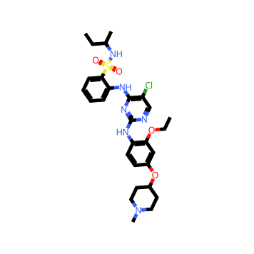 CCOc1cc(OC2CCN(C)CC2)ccc1Nc1ncc(Cl)c(Nc2ccccc2S(=O)(=O)NC(C)CC)n1